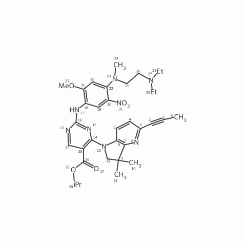 CC#Cc1ccc2c(n1)C(C)(C)CN2c1nc(Nc2cc([N+](=O)[O-])c(N(C)CCN(CC)CC)cc2OC)ncc1C(=O)OC(C)C